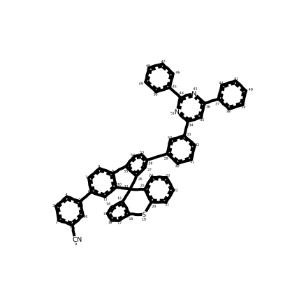 N#Cc1cccc(-c2ccc3c(c2)C2(c4ccccc4Sc4ccccc42)c2cc(-c4cccc(-c5cc(-c6ccccc6)nc(-c6ccccc6)n5)c4)ccc2-3)c1